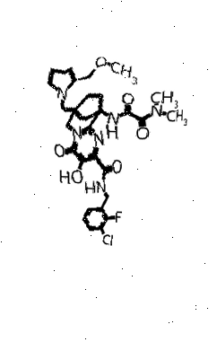 COC[C@@H]1CCCN1CC12CCC(NC(=O)C(=O)N(C)C)(CC1)c1nc(C(=O)NCc3cccc(Cl)c3F)c(O)c(=O)n1C2